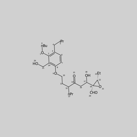 CCCCOc1c(CC(C)C)ccc(OCCC(CCC)C(=O)CC(O)[C@]2(C=O)O[C@H]2CC)c1CO